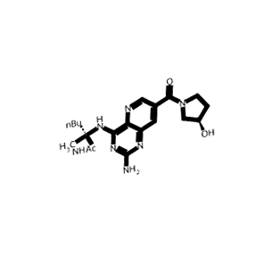 CCCC[C@@](C)(NC(C)=O)Nc1nc(N)nc2cc(C(=O)N3CC[C@@H](O)C3)cnc12